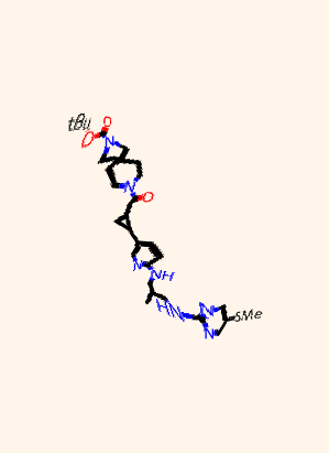 CSc1cnc(NCC(C)CNc2ccc(C3CC3C(=O)N3CCC4(CC3)CN(C(=O)OC(C)(C)C)C4)cn2)nc1